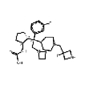 O=C(O)N[C@H]1CCC[C@@H]1[C@](CN1CCC1)(c1cccc(F)c1)C1CCN(CC2(F)CNC2)CC1